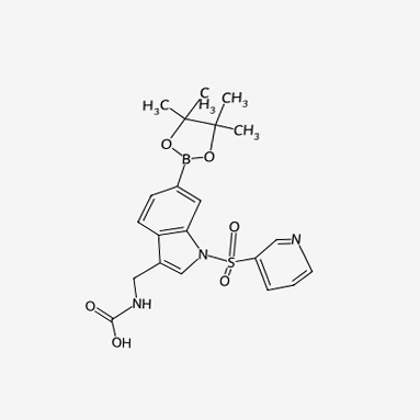 CC1(C)OB(c2ccc3c(CNC(=O)O)cn(S(=O)(=O)c4cccnc4)c3c2)OC1(C)C